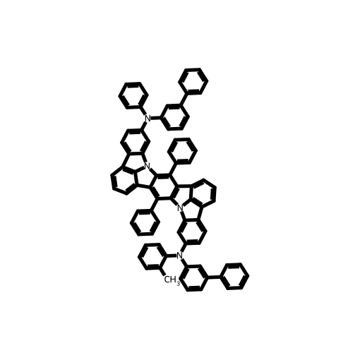 Cc1ccccc1N(c1cccc(-c2ccccc2)c1)c1ccc2c3cccc4c5c(-c6ccccc6)c6c(c(-c7ccccc7)c5n(c2c1)c34)c1cccc2c3ccc(N(c4ccccc4)c4cccc(-c5ccccc5)c4)cc3n6c21